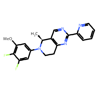 COc1cc(N2CCc3nc(-c4ccccn4)ncc3[C@@H]2C)cc(F)c1F